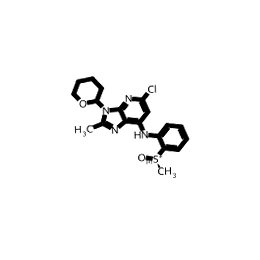 Cc1nc2c(Nc3ccccc3[S@+](C)[O-])cc(Cl)nc2n1C1CCCCO1